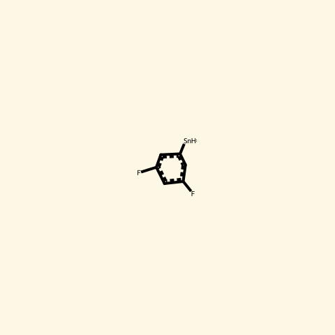 Fc1cc(F)c[c]([SnH])c1